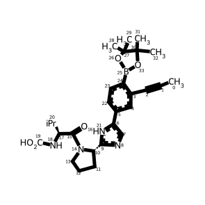 CC#Cc1cc(-c2cnc([C@@H]3CCCN3C(=O)[C@@H](NC(=O)O)C(C)C)[nH]2)ccc1B1OC(C)(C)C(C)(C)O1